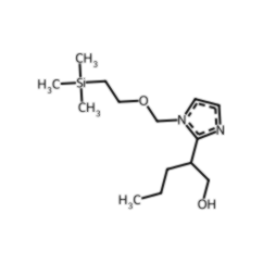 CCCC(CO)c1nccn1COCC[Si](C)(C)C